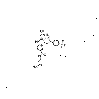 CC(=O)CCNC(=O)c1ccc(N[C@H](CC(C)C)c2ccc(-c3ccc(C(F)(F)F)cc3)nc2)nc1